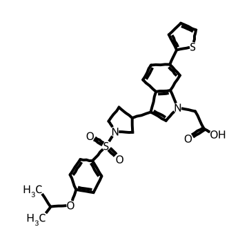 CC(C)Oc1ccc(S(=O)(=O)N2CCC(c3cn(CC(=O)O)c4cc(-c5cccs5)ccc34)C2)cc1